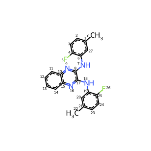 Cc1ccc(F)c(Nc2nc3ccccc3nc2Nc2cc(C)ccc2F)c1